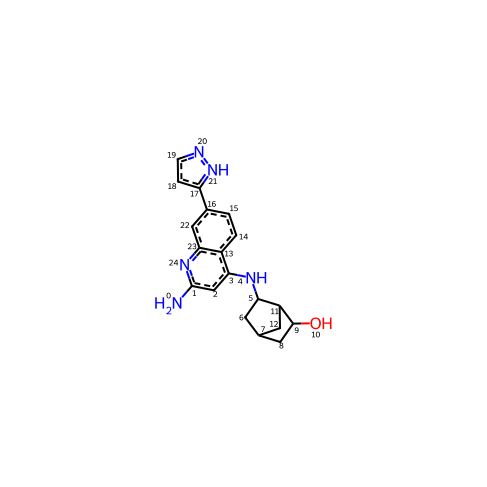 Nc1cc(NC2CC3CC(O)C2C3)c2ccc(-c3ccn[nH]3)cc2n1